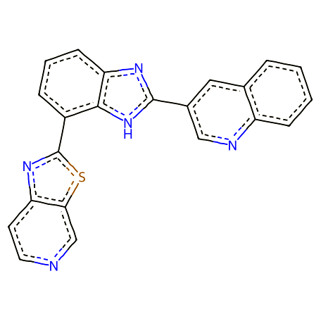 c1ccc2ncc(-c3nc4cccc(-c5nc6ccncc6s5)c4[nH]3)cc2c1